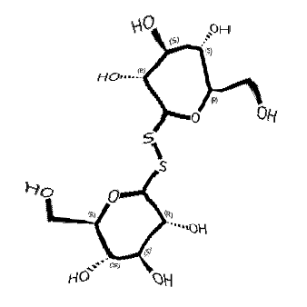 OC[C@H]1OC(SSC2O[C@H](CO)[C@@H](O)[C@H](O)[C@H]2O)[C@H](O)[C@@H](O)[C@@H]1O